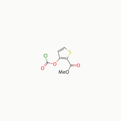 COC(=O)c1sccc1OC(=O)Cl